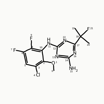 COc1c(Cl)cc(F)c(F)c1Nc1nc(N)nc(C(C)(C)F)n1